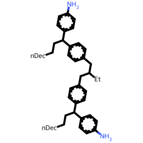 CCCCCCCCCCCCC(c1ccc(N)cc1)c1ccc(CC(CC)Cc2ccc(C(CCCCCCCCCCCC)c3ccc(N)cc3)cc2)cc1